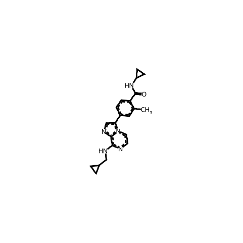 Cc1cc(-c2cnc3c(NCC4CC4)nccn23)ccc1C(=O)NC1CC1